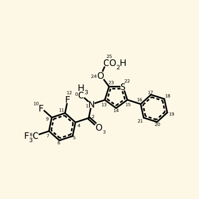 CN(C(=O)c1ccc(C(F)(F)F)c(F)c1F)c1cc(-c2ccccc2)sc1OC(=O)O